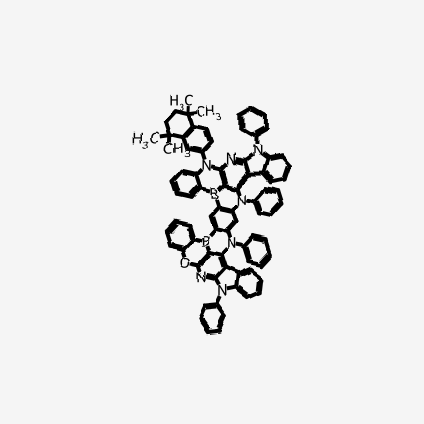 CC1(C)CCC(C)(C)c2cc(N3c4ccccc4B4c5cc6c(cc5N(c5ccccc5)c5c4c3nc3c5c4ccccc4n3-c3ccccc3)N(c3ccccc3)c3c4c(nc5c3c3ccccc3n5-c3ccccc3)Oc3ccccc3B64)ccc21